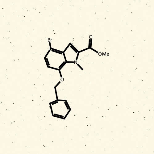 COC(=O)c1cc2c(Br)ccc(OCc3ccccc3)c2n1C